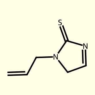 C=CCN1CC=NC1=S